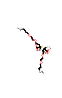 CCCCOCCOCCC(C)(SC(C)(CCOCCOCCCC)C(=O)O)C(=O)O